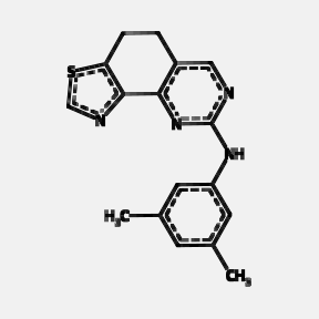 Cc1cc(C)cc(Nc2ncc3c(n2)-c2ncsc2CC3)c1